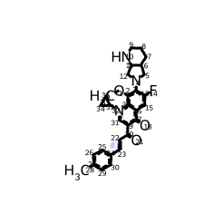 COc1c(N2CC3CCCNC3C2)c(F)cc2c(=O)c(C(=O)/C=C/c3ccc(C)cc3)cn(C3CC3)c12